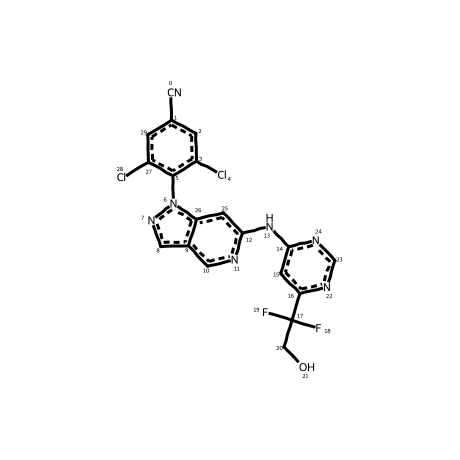 N#Cc1cc(Cl)c(-n2ncc3cnc(Nc4cc(C(F)(F)CO)ncn4)cc32)c(Cl)c1